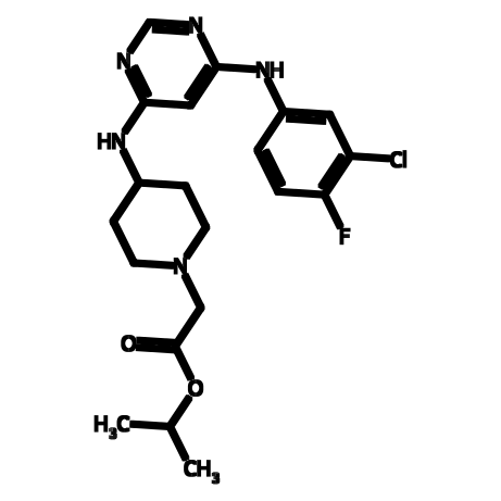 CC(C)OC(=O)CN1CCC(Nc2cc(Nc3ccc(F)c(Cl)c3)ncn2)CC1